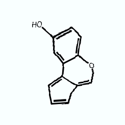 Oc1ccc2occ3cccc-3c2c1